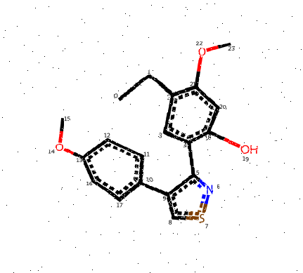 CCc1cc(-c2nscc2-c2ccc(OC)cc2)c(O)cc1OC